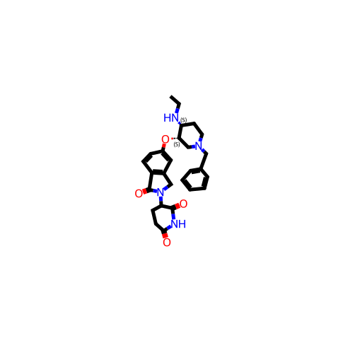 CCN[C@H]1CCN(Cc2ccccc2)C[C@@H]1Oc1ccc2c(c1)CN(C1CCC(=O)NC1=O)C2=O